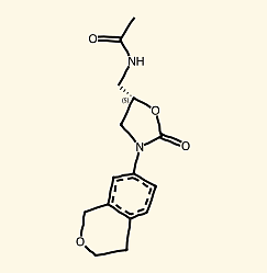 CC(=O)NC[C@H]1CN(c2ccc3c(c2)COCC3)C(=O)O1